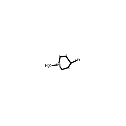 [CH2-][NH+]1CCC(CC)CC1